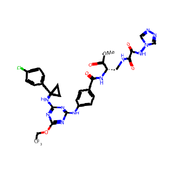 COC(=O)[C@H](CNC(=O)C(=O)Nn1cnnc1)NC(=O)c1ccc(Nc2nc(NC3(c4ccc(Cl)cc4)CC3)nc(OCC(F)(F)F)n2)cc1